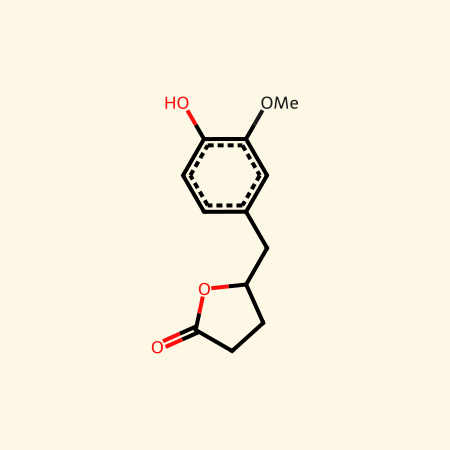 COc1cc(CC2CCC(=O)O2)ccc1O